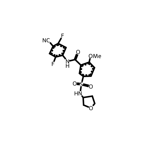 COc1ccc(S(=O)(=O)NC2CCOC2)cc1C(=O)Nc1cc(F)c(C#N)cc1F